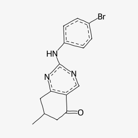 CC1CC(=O)c2cnc(Nc3ccc(Br)cc3)nc2C1